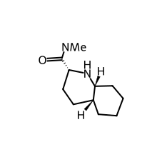 CNC(=O)[C@H]1CC[C@H]2CCCC[C@H]2N1